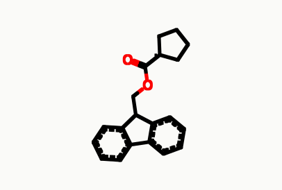 O=C(OCC1c2ccccc2-c2ccccc21)[C]1CCCC1